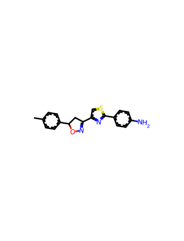 Cc1ccc(C2CC(c3csc(-c4ccc(N)cc4)n3)=NO2)cc1